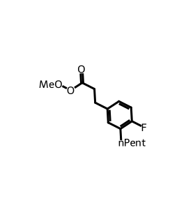 CCCCCc1cc(CCC(=O)OOC)ccc1F